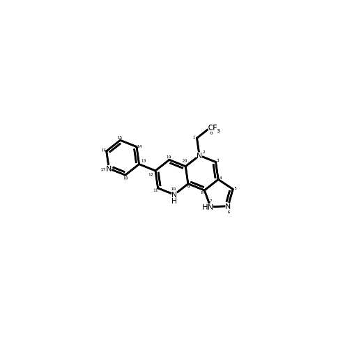 FC(F)(F)CN1C=c2cn[nH]c2=C2NC=C(c3cccnc3)C=C21